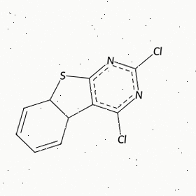 Clc1nc(Cl)c2c(n1)SC1C=CC=CC21